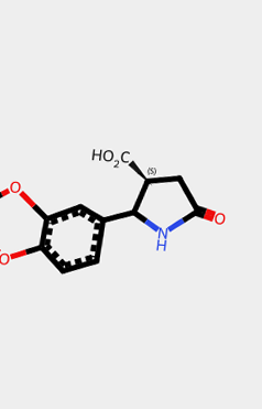 O=C1C[C@H](C(=O)O)C(c2ccc3c(c2)OCCO3)N1